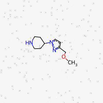 COCc1[c]cn(C2CCNCC2)n1